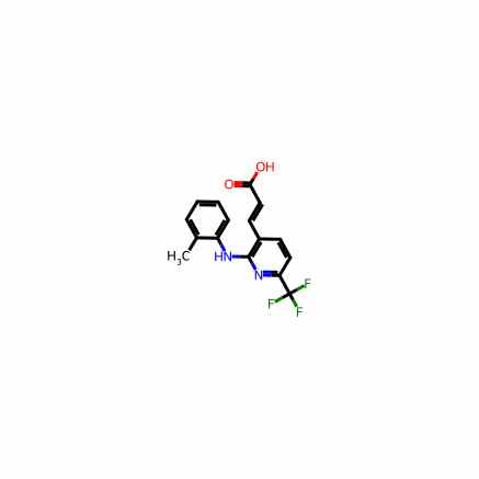 Cc1ccccc1Nc1nc(C(F)(F)F)ccc1C=CC(=O)O